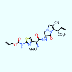 C=CCOC(=O)Nc1nc(C(=NOC)C(=O)N[C@H]2CN3CC(C#N)=C(C(C=C)C(=O)O)N3C2=O)cs1